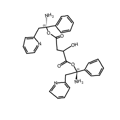 N[C@@](Cc1ccccn1)(OC(=O)CC(O)C(=O)O[C@@](N)(Cc1ccccn1)c1ccccc1)c1ccccc1